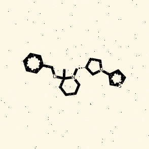 CC1(OCc2ccccc2)CCCCN1C[C@@H]1CCN(c2ccsc2)C1